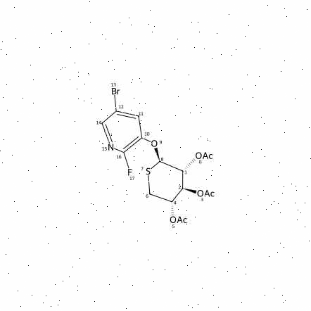 CC(=O)O[C@@H]1[C@@H](OC(C)=O)[C@H](OC(C)=O)CS[C@H]1Oc1cc(Br)cnc1F